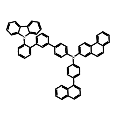 c1cc(-c2ccc(N(c3ccc(-c4cccc5ccccc45)cc3)c3ccc4c(ccc5ccccc54)c3)cc2)cc(-c2ccccc2-n2c3ccccc3c3ccccc32)c1